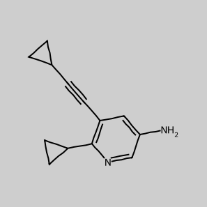 Nc1cnc(C2CC2)c(C#CC2CC2)c1